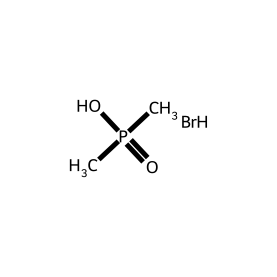 Br.CP(C)(=O)O